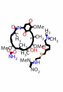 CN/C(=C/[N+](=O)[O-])NCCSCc1ccc(CN(C)C)o1.COC1=C2C[C@@H](C)C[C@H](OC)[C@H](O)[C@@H](C)/C=C(\C)[C@H](OC(N)=O)[C@@H](OC)/C=C\C=C(/C)C(=O)NC(=CC1=O)C2=O